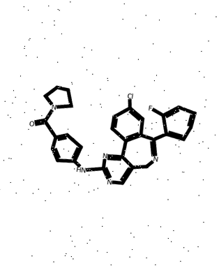 O=C(c1ccc(Nc2ncc3c(n2)-c2ccc(Cl)cc2C(c2ccccc2F)=NC3)cc1)N1CCCC1